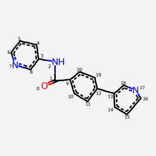 O=C(Nc1cccnc1)c1ccc(-c2cccnc2)cc1